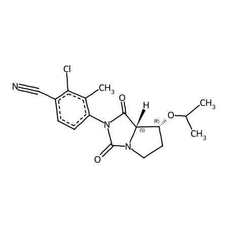 Cc1c(N2C(=O)[C@@H]3[C@H](OC(C)C)CCN3C2=O)ccc(C#N)c1Cl